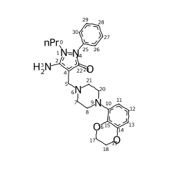 CCCn1c(N)c(CN2CCN(c3cccc4c3OCCO4)CC2)c(=O)n1-c1ccccc1